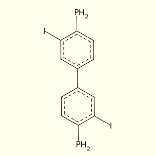 Pc1ccc(-c2ccc(P)c(I)c2)cc1I